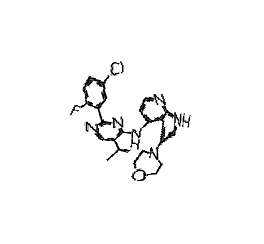 CC(C)c1cnc(-c2cc(Cl)ccc2F)nc1Nc1ccnc2[nH]cc(N3CCOCC3)c12